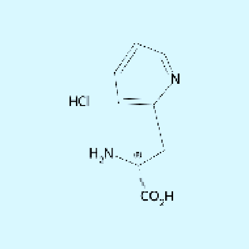 Cl.N[C@H](Cc1ccccn1)C(=O)O